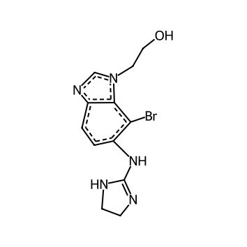 OCCn1cnc2ccc(NC3=NCCN3)c(Br)c21